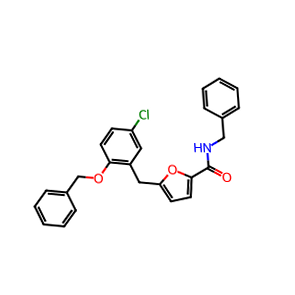 O=C(NCc1ccccc1)c1ccc(Cc2cc(Cl)ccc2OCc2ccccc2)o1